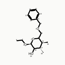 CCO[C@H]1OC(COCc2ccccc2)[C@@H](C)[C@H](C)C1O